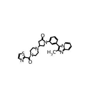 Cc1nc2ccccn2c1-c1cccc(N2CC(N3CCN(C(=O)c4nccs4)CC3)CC2=O)c1